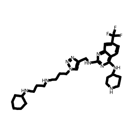 FC(F)(F)c1ccc2c(NC3CCNCC3)nc(NCc3cn(CCCNCCCNC4CCCCC4)nn3)nc2c1